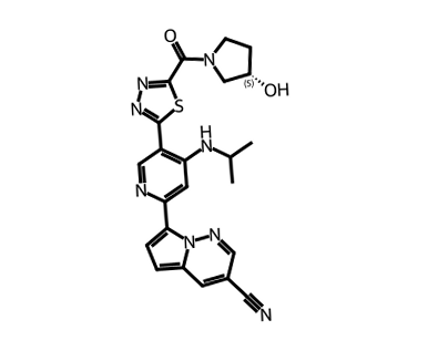 CC(C)Nc1cc(-c2ccc3cc(C#N)cnn23)ncc1-c1nnc(C(=O)N2CC[C@H](O)C2)s1